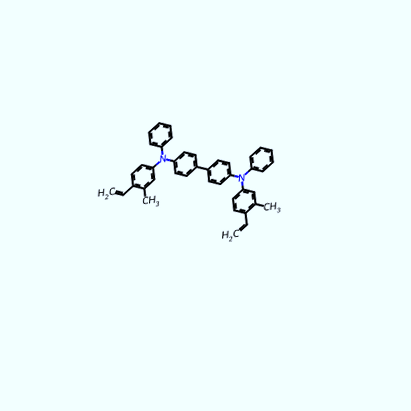 C=Cc1ccc(N(c2ccccc2)c2ccc(-c3ccc(N(c4ccccc4)c4ccc(C=C)c(C)c4)cc3)cc2)cc1C